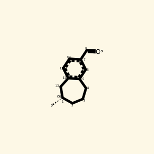 C[C@H]1CCCc2cc(C=O)ccc2C1